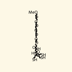 COCCOCCOCCOCCOCCOCCOCCOCCC(=O)NCC(=O)NC(CCCS)(CCCS)CCCS